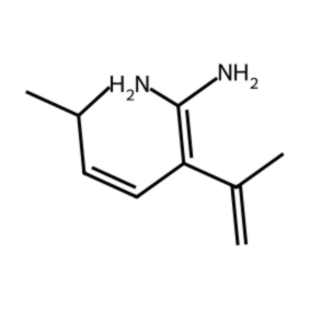 C=C(C)C(/C=C\C(C)C)=C(N)N